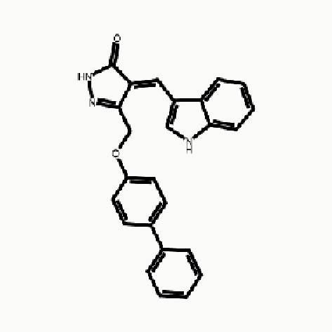 O=C1NN=C(COc2ccc(-c3ccccc3)cc2)C1=Cc1c[nH]c2ccccc12